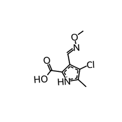 CO/N=C/c1c(C(=O)O)[nH]c(C)c1Cl